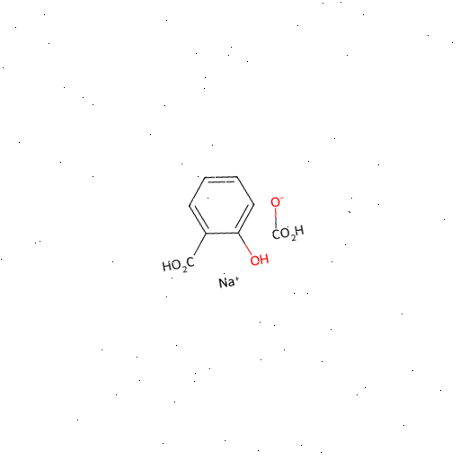 O=C(O)c1ccccc1O.O=C([O-])O.[Na+]